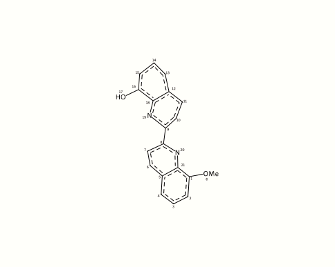 COc1cccc2ccc(-c3ccc4cccc(O)c4n3)nc12